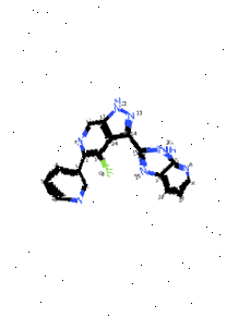 Fc1c(-c2cccnc2)ncc2[nH]nc(-c3nc4cccnc4[nH]3)c12